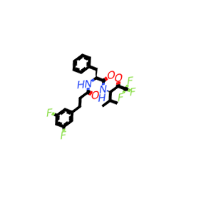 CC(C)[C@H](NC(=O)[C@H](Cc1ccccc1)NC(=O)CCc1cc(F)cc(F)c1)C(=O)C(F)(F)F